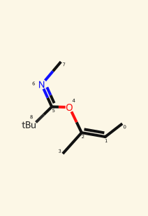 C/C=C(/C)O/C(=N\C)C(C)(C)C